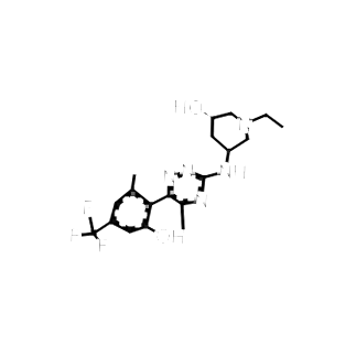 CCN1CC(Nc2nnc(-c3c(C)cc(C(F)(F)F)cc3O)c(C)n2)C[C@@H](O)C1